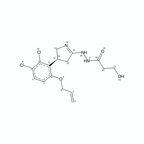 C=CCOc1ccc(Cl)c(Cl)c1[C@H]1CN=C(NNC(=O)CCO)C1